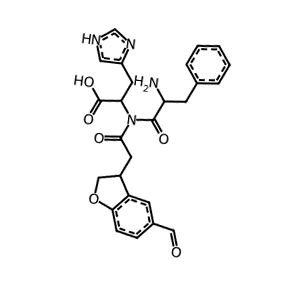 NC(Cc1ccccc1)C(=O)N(C(=O)CC1COc2ccc(C=O)cc21)C(Cc1c[nH]cn1)C(=O)O